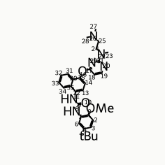 COc1ccc(C(C)(C)C)cc1NC(=O)Nc1ccc(Oc2ccnc(N(C)CCN(C)C)n2)c2ccccc12